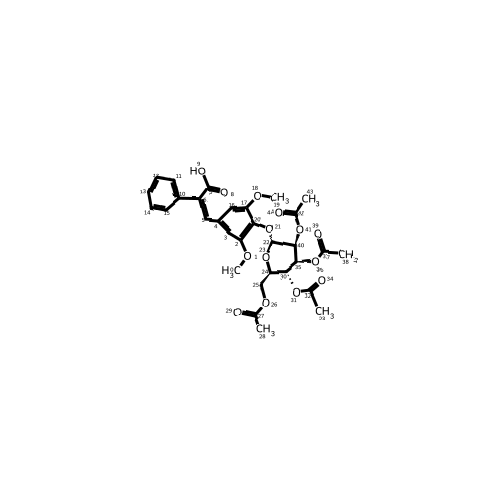 COc1cc(C=C(C(=O)O)c2ccccc2)cc(OC)c1O[C@H]1O[C@H](COC(C)=O)[C@@H](OC(C)=O)[C@H](OC(C)=O)[C@@H]1OC(C)=O